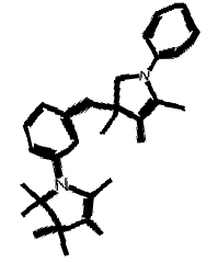 CC1=C(C)C(C)(Cc2cccc(N3C(C)=C(C)C(C)(C)C3(C)C)c2)CN1c1ccccc1